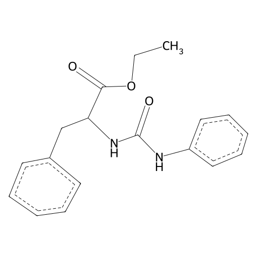 CCOC(=O)C(Cc1ccccc1)NC(=O)Nc1ccccc1